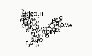 CC(C)OC(=O)c1cc(-n2c(=O)cc(C(F)(F)F)n(C)c2=O)ccc1Cl.CC1COc2ccccc2N1C(=O)C(Cl)Cl.CCc1cccc(CC)c1N(COC)C(=O)CCl.C[S+](C)C.O=C(O)CNCP(=O)([O-])O